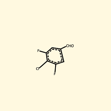 O=Cc1cc(F)c(Cl)c(F)c1